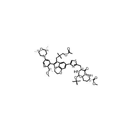 COC(=O)[C@@H]1CCCN(C(=O)[C@H](Cc2nc(-c3cc4c5c(c3)c(CC(C)(C)COC(C)=O)c(-c3cc(N6C[C@@H](C)O[C@@H](C)C6)cnc3[C@H](C)OC)n5CCO4)cs2)NC(=O)OC(C)(C)C)N1